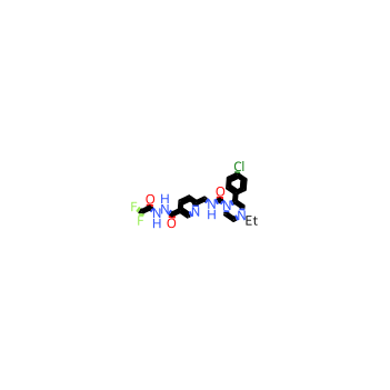 CCN1CCN(C(=O)NCc2ccc(C(=O)NNC(=O)C(F)F)cn2)C(c2ccc(Cl)cc2)C1